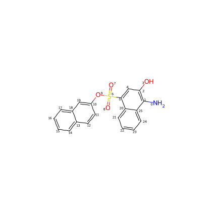 Nc1c(O)cc(S(=O)(=O)Oc2ccc3ccccc3c2)c2ccccc12